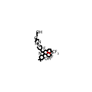 CC1(C)Cc2nc(C3CCN(c4ncc(OCCO)cn4)CC3)c([C@@H](F)c3ccc(C(F)(F)F)cc3)c(C3CCC(F)(F)CC3)c2[C@@H](O)C1